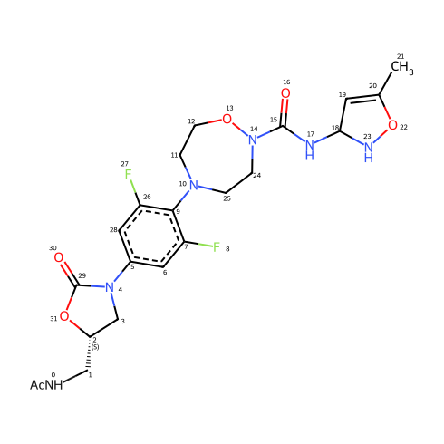 CC(=O)NC[C@H]1CN(c2cc(F)c(N3CCON(C(=O)NC4C=C(C)ON4)CC3)c(F)c2)C(=O)O1